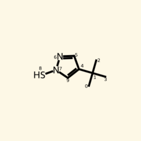 CC(C)(C)c1cnn(S)c1